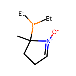 CCP(CC)C1(C)CCC=[N+]1[O-]